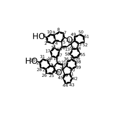 Oc1ccc2c3c(ccc2c1)OC1(C=C3c2cccc(C3=CC4(Oc5ccc6cc(O)ccc6c53)c3ccccc3-c3ccccc34)c2)c2ccccc2-c2ccccc21